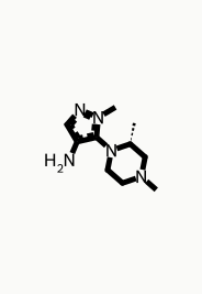 C[C@@H]1CN(C)CCN1c1c(N)cnn1C